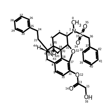 CN(C1CC[C@H]2[C@H]3Cc4ccc(OC(=O)CO)c5c4[C@@]2(CCN3CCc2ccccc2)C1O5)S(=O)(=O)Cc1ccccc1